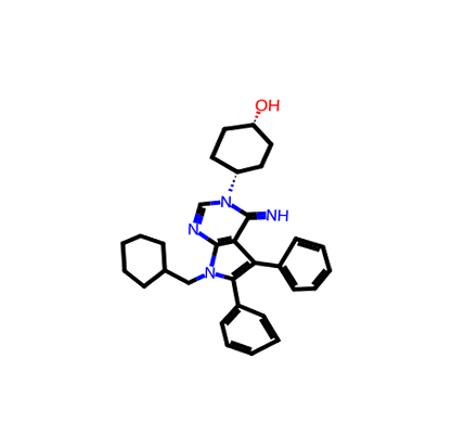 N=c1c2c(-c3ccccc3)c(-c3ccccc3)n(CC3CCCCC3)c2ncn1[C@H]1CC[C@@H](O)CC1